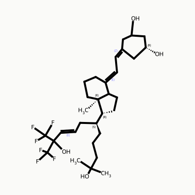 CC(C)(O)CCC[C@@H](C/C=C/C(O)(C(F)(F)F)C(F)(F)F)[C@H]1CCC2/C(=C/C=C3/CC(O)C[C@H](O)C3)CCC[C@@]21C